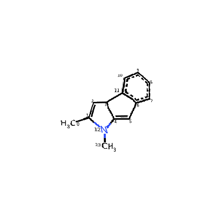 CC1=CC2C(=Cc3ccccc32)N1C